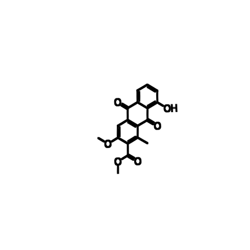 COC(=O)c1c(OC)cc2c(c1C)C(=O)c1c(O)cccc1C2=O